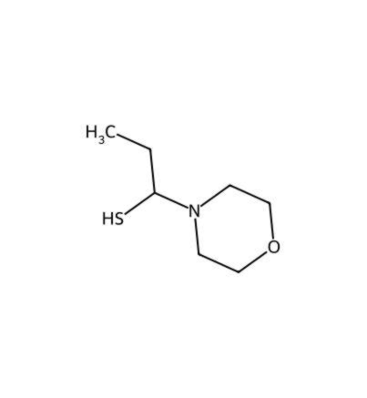 CCC(S)N1CCOCC1